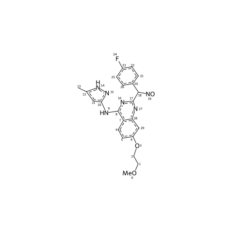 COCCOc1ccc2c(Nc3cc(C)[nH]n3)nc(C(N=O)c3ccc(F)cc3)nc2c1